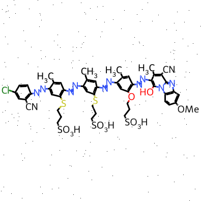 COc1ccc2c(c1)nc1c(C#N)c(C)c(N=Nc3cc(C)c(N=Nc4cc(C)c(N=Nc5cc(C)c(N=Nc6ccc(Cl)cc6C#N)cc5SCCCS(=O)(=O)O)cc4SCCCS(=O)(=O)O)cc3OCCCS(=O)(=O)O)c(O)n12